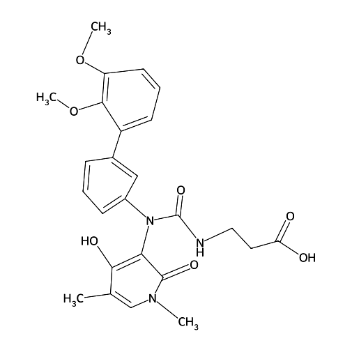 COc1cccc(-c2cccc(N(C(=O)NCCC(=O)O)c3c(O)c(C)cn(C)c3=O)c2)c1OC